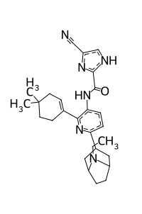 CCN1C2CCC1CC(c1ccc(NC(=O)c3nc(C#N)c[nH]3)c(C3=CCC(C)(C)CC3)n1)C2